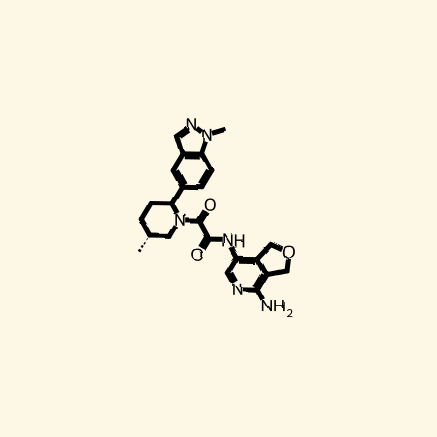 C[C@@H]1CCC(c2ccc3c(cnn3C)c2)N(C(=O)C(=O)Nc2cnc(N)c3c2COC3)C1